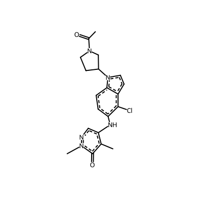 CC(=O)N1CCC(n2ccc3c(Cl)c(Nc4cnn(C)c(=O)c4C)ccc32)C1